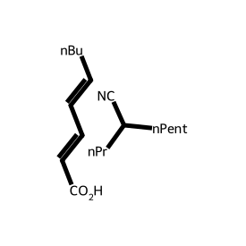 CCCC/C=C/C=C/C(=O)O.CCCCCC(C#N)CCC